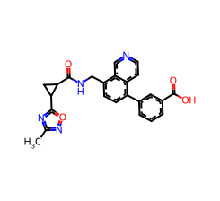 Cc1noc(C2CC2C(=O)NCc2ccc(-c3cccc(C(=O)O)c3)c3ccncc23)n1